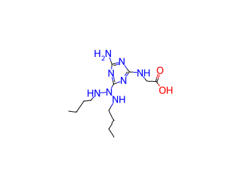 CCCCNN(NCCCC)c1nc(N)nc(NCC(=O)O)n1